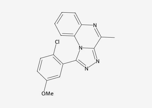 COc1ccc(Cl)c(-c2nnc3c(C)nc4ccccc4n23)c1